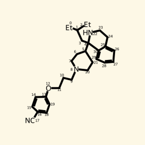 CCC(CC)CC1(C2CCN(CCCOc3ccc(C#N)cc3)CC2)NCCc2ccccc21